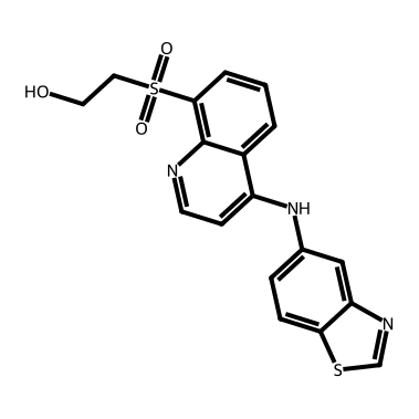 O=S(=O)(CCO)c1cccc2c(Nc3ccc4scnc4c3)ccnc12